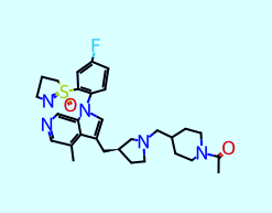 CC(=O)N1CCC(CN2CC[C@@H](Cc3cn(-c4ccc(F)cc4S4(=O)=NCCC4)c4cncc(C)c34)C2)CC1